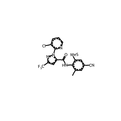 CSc1cc(C#N)cc(C)c1NC(=O)c1cc(C(F)(F)F)nn1-c1ncccc1Cl